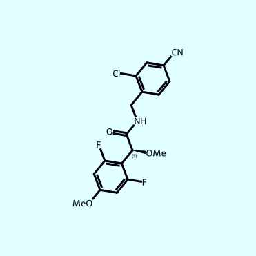 COc1cc(F)c([C@H](OC)C(=O)NCc2ccc(C#N)cc2Cl)c(F)c1